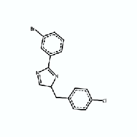 Clc1ccc(CC2C=NC(c3cccc(Br)c3)=N2)cc1